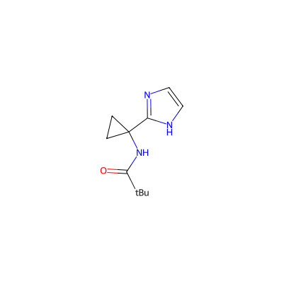 CC(C)(C)C(=O)NC1(c2ncc[nH]2)CC1